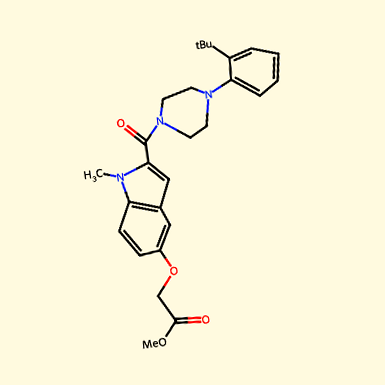 COC(=O)COc1ccc2c(c1)cc(C(=O)N1CCN(c3ccccc3C(C)(C)C)CC1)n2C